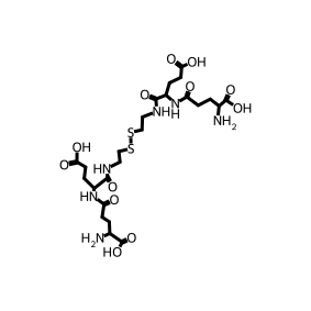 NC(CCC(=O)NC(CCC(=O)O)C(=O)NCCSSCCNC(=O)C(CCC(=O)O)NC(=O)CCC(N)C(=O)O)C(=O)O